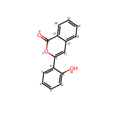 O=c1oc(-c2ccccc2O)cc2ccccc12